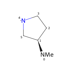 CN[C@@H]1CC[N]C1